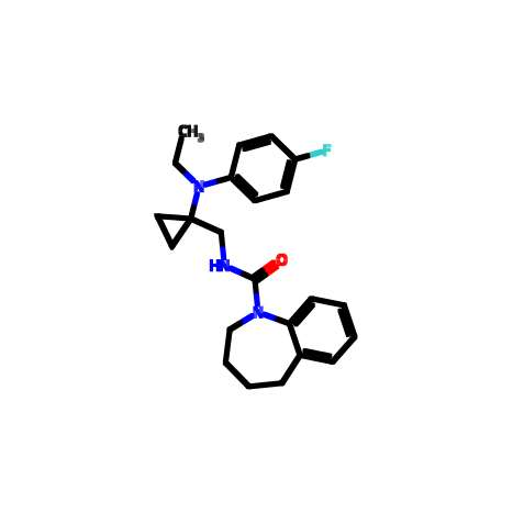 CCN(c1ccc(F)cc1)C1(CNC(=O)N2CCCCc3ccccc32)CC1